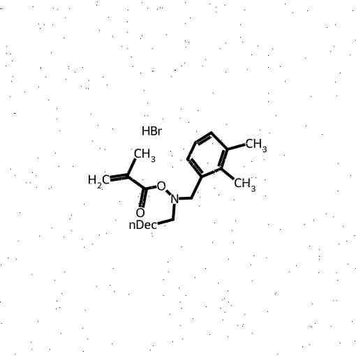 Br.C=C(C)C(=O)ON(CCCCCCCCCCC)Cc1cccc(C)c1C